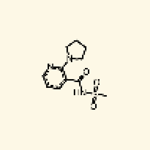 CS(=O)(=O)NC(=O)c1cccnc1N1CCCC1